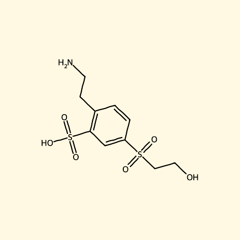 NCCc1ccc(S(=O)(=O)CCO)cc1S(=O)(=O)O